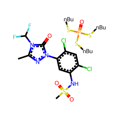 CCCCSP(=O)(SCCCC)SCCCC.Cc1nn(-c2cc(NS(C)(=O)=O)c(Cl)cc2Cl)c(=O)n1C(F)F